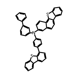 c1ccc(-c2cccc(N(c3ccc(-c4cccc5c4sc4ccccc45)cc3)c3ccc4c(ccc5c6ccccc6sc45)c3)c2)cc1